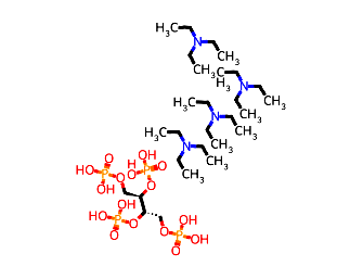 CCN(CC)CC.CCN(CC)CC.CCN(CC)CC.CCN(CC)CC.O=P(O)(O)OC[C@H](OP(=O)(O)O)[C@@H](COP(=O)(O)O)OP(=O)(O)O